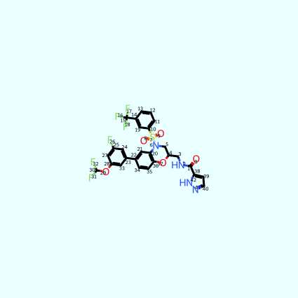 O=C(NCC1CN(S(=O)(=O)c2cccc(C(F)(F)F)c2)c2cc(-c3cc(F)cc(OC(F)F)c3)ccc2O1)c1ccn[nH]1